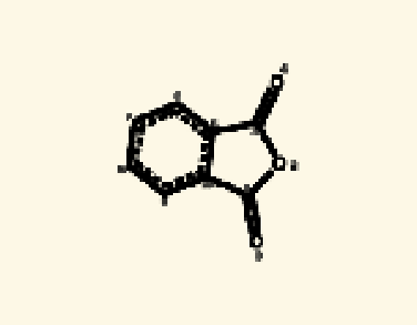 O=C1OC(=O)c2ccc[c]c21